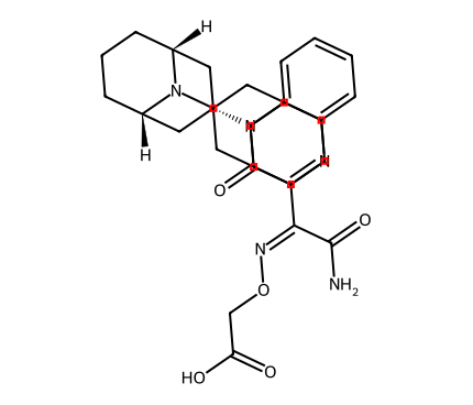 NC(=O)/C(=N\OCC(=O)O)c1nc2ccccc2n([C@H]2C[C@H]3CCC[C@@H](C2)N3C2CC3CCCC(C3)C2)c1=O